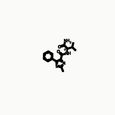 Cc1nc(C(=O)N[C@@H](C(N)=O)C(C)C)c(-c2ccccc2)s1